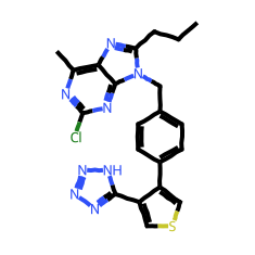 CCCc1nc2c(C)nc(Cl)nc2n1Cc1ccc(-c2cscc2-c2nnn[nH]2)cc1